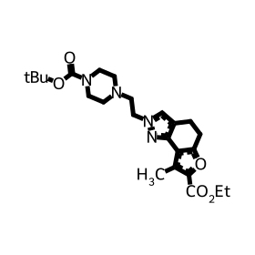 CCOC(=O)c1oc2c(c1C)-c1nn(CCN3CCN(C(=O)OC(C)(C)C)CC3)cc1CC2